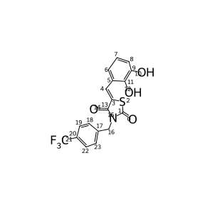 O=C1SC(=Cc2cccc(O)c2O)C(=O)N1Cc1ccc(C(F)(F)F)cc1